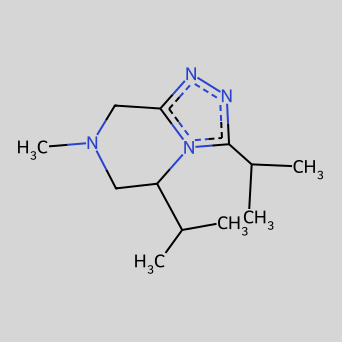 CC(C)c1nnc2n1C(C(C)C)CN(C)C2